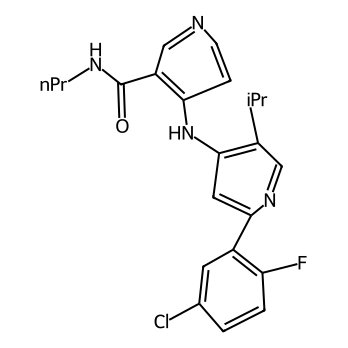 CCCNC(=O)c1cnccc1Nc1cc(-c2cc(Cl)ccc2F)ncc1C(C)C